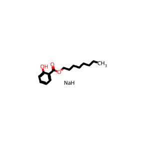 CCCCCCCCOC(=O)c1ccccc1O.[NaH]